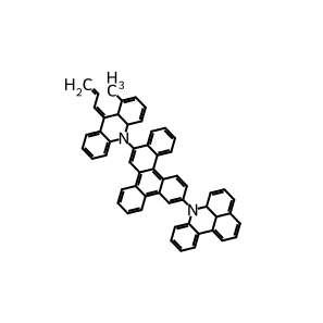 C=C/C=C1/c2ccccc2N(c2cc3c4ccccc4c4cc(N5c6ccccc6C6=CC=CC7=CC=CC5C76)ccc4c3c3ccccc23)C2C=CC=C(C)C12